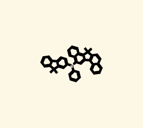 CC1(C)c2ccccc2-c2ccc(N(c3ccccc3)c3cc4c(c5ccccc35)C(C)(C)c3ccc5ccccc5c3-4)cc21